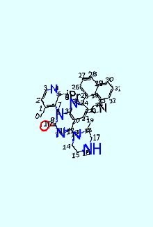 Cc1ccnc(C(C)C)c1-n1c(=O)nc(N2CCNCC2C)c2cc(C#N)c(-c3cccc4cccc(C)c34)nc21